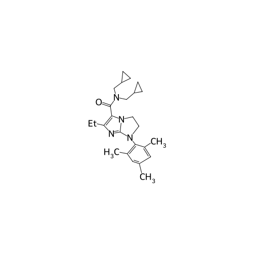 CCc1nc2n(c1C(=O)N(CC1CC1)CC1CC1)CCN2c1c(C)cc(C)cc1C